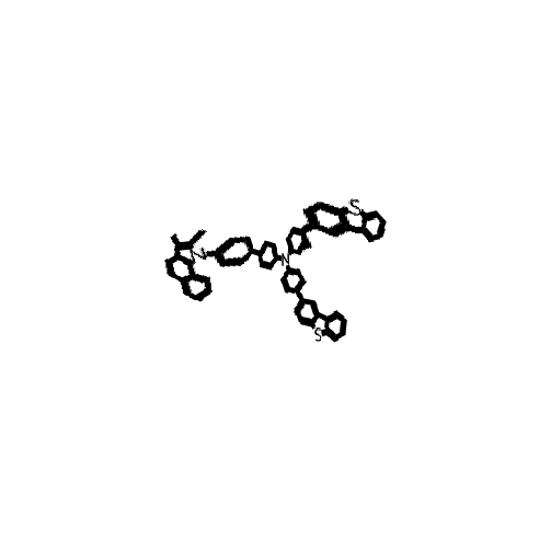 Cc1c(C)n(-c2ccc(-c3ccc(N(c4ccc(-c5ccc6sc7ccccc7c6c5)cc4)c4ccc(-c5ccc6sc7ccccc7c6c5)cc4)cc3)cc2)c2c1ccc1ccccc12